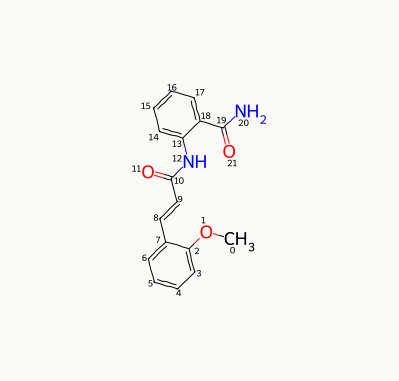 COc1ccccc1C=CC(=O)Nc1ccccc1C(N)=O